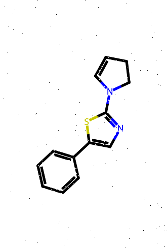 C1=CN(c2ncc(-c3ccccc3)s2)CC1